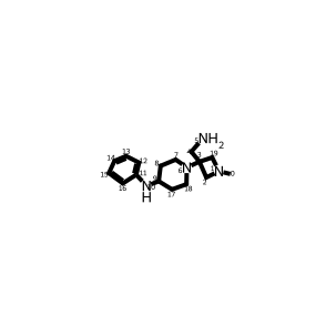 CN1CC(CN)(N2CCC(Nc3ccccc3)CC2)C1